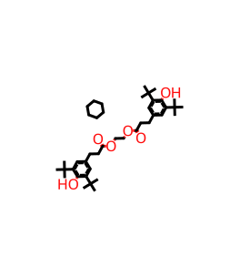 C1CCCCC1.CC(C)(C)c1cc(CCC(=O)OCCOC(=O)CCc2cc(C(C)(C)C)c(O)c(C(C)(C)C)c2)cc(C(C)(C)C)c1O